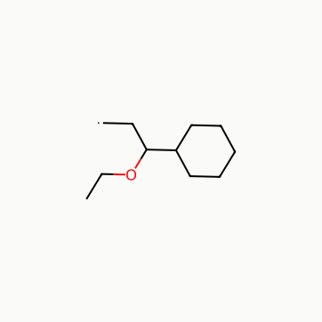 [CH2]CC(OCC)C1CCCCC1